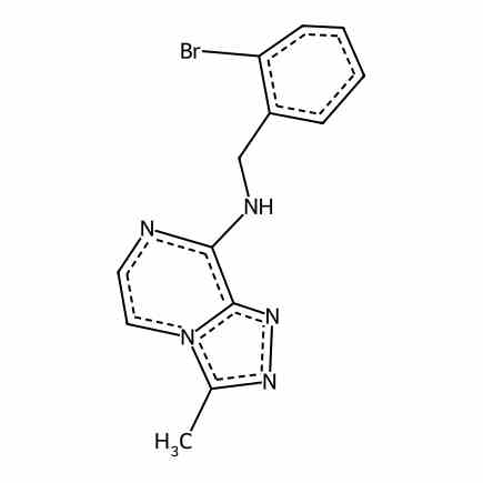 Cc1nnc2c(NCc3ccccc3Br)nccn12